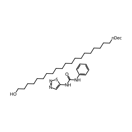 CCCCCCCCCCCCCCCCCCCCCCCCCCCCCCO.O=C(Nc1ccccc1)Nc1cnns1